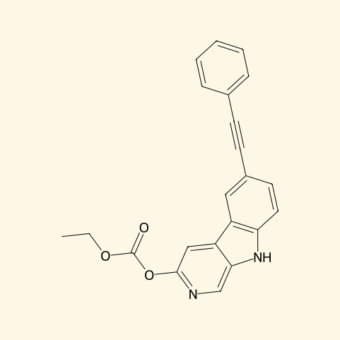 CCOC(=O)Oc1cc2c(cn1)[nH]c1ccc(C#Cc3ccccc3)cc12